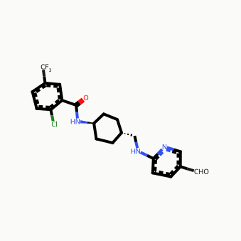 O=Cc1ccc(NC[C@H]2CC[C@H](NC(=O)c3cc(C(F)(F)F)ccc3Cl)CC2)nc1